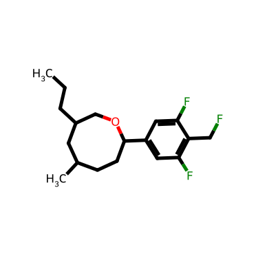 CCCC1COC(c2cc(F)c(CF)c(F)c2)CCC(C)C1